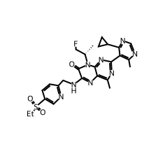 CCS(=O)(=O)c1ccc(CNc2nc3c(C)nc(-c4c(C)ncnc4C4CC4)nc3n([C@@H](C)CF)c2=O)nc1